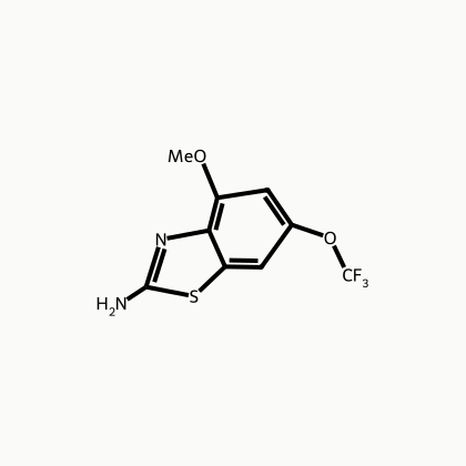 COc1cc(OC(F)(F)F)cc2sc(N)nc12